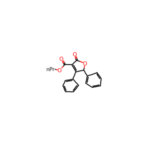 CCCOC(=O)C1=C(c2ccccc2)C(c2ccccc2)OC1=O